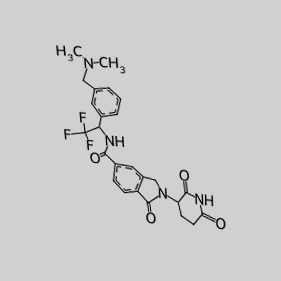 CN(C)Cc1cccc(C(NC(=O)c2ccc3c(c2)CN(C2CCC(=O)NC2=O)C3=O)C(F)(F)F)c1